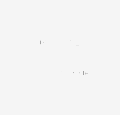 C.C=CC(=O)O.CC(=O)O.O=C(O)c1ccccc1